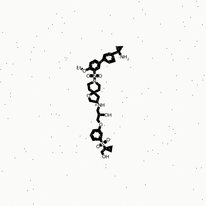 CCOc1ccc(-c2ccc(C3(N)CC3)cc2)cc1S(=O)(=O)N1CCC2(CC1)C[C@@H](NCC(O)COc1cccc(S(=O)(=O)C3(CO)CC3)c1)CO2